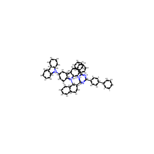 c1ccc(-c2ccc(-c3nc(-c4ccccc4)nc(-c4ccc5ccccc5c4-n4c5ccc(-n6c7ccccc7c7ccccc76)cc5c5cc6ccccc6cc54)n3)cc2)cc1